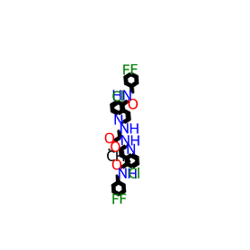 CCOC(=O)C(CNc1ccc2c(C(=O)NCC3CCC(F)(F)CC3)c(Cl)ccc2n1)Nc1ccc2c(C(=O)NCC3CCC(F)(F)CC3)c(Cl)ccc2n1